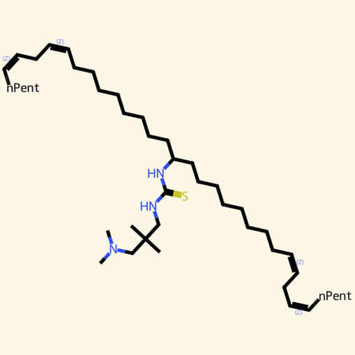 CCCCC/C=C\C/C=C\CCCCCCCCC(CCCCCCCC/C=C\C/C=C\CCCCC)NC(=S)NCC(C)(C)CN(C)C